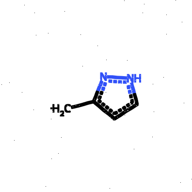 [CH2]c1cc[nH]n1